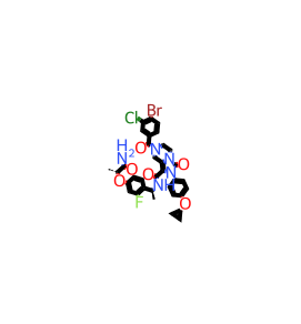 C[C@H](NC(=O)c1c2n(c(=O)n1-c1ccc(OC3CC3)cc1)CCN(C(=O)c1ccc(Br)c(Cl)c1)C2)c1ccc(O[C@H](C)C(N)=O)cc1F